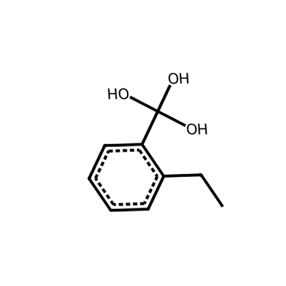 CCc1ccccc1C(O)(O)O